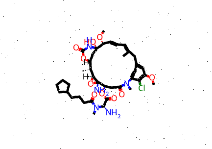 COc1cc2cc(c1Cl)N(C)C(=O)C[C@H](OC(=O)[C@H](N)N(C)C(=O)CCCC1CCCC1)[C@]1(N)O[C@H]1[C@H](C)[C@@H]1C[C@@](O)(NC(=O)O1)[C@H](OC)/C=C/C=C(\C)C2